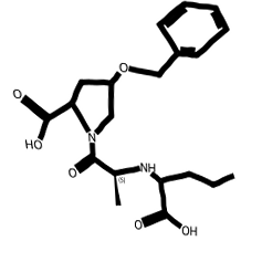 CCCC(N[C@@H](C)C(=O)N1CC(OCc2ccccc2)CC1C(=O)O)C(=O)O